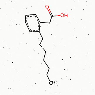 CCCCCCCc1ccccc1CC(=O)O